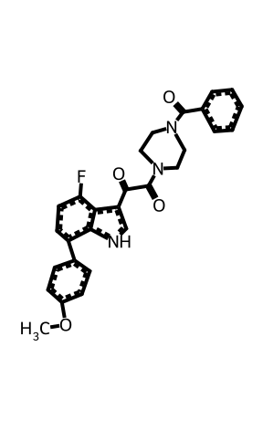 COc1ccc(-c2ccc(F)c3c(C(=O)C(=O)N4CCN(C(=O)c5ccccc5)CC4)c[nH]c23)cc1